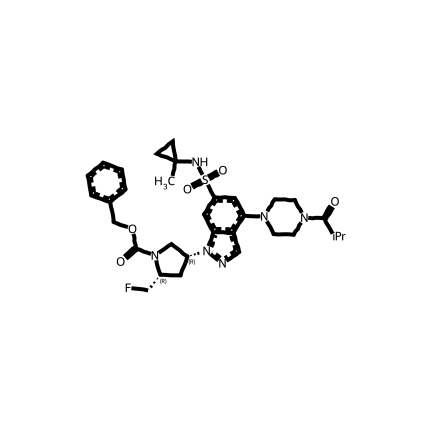 CC(C)C(=O)N1CCN(c2cc(S(=O)(=O)NC3(C)CC3)cc3c2cnn3[C@@H]2C[C@H](CF)N(C(=O)OCc3ccccc3)C2)CC1